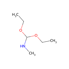 CCOC(NC)OCC